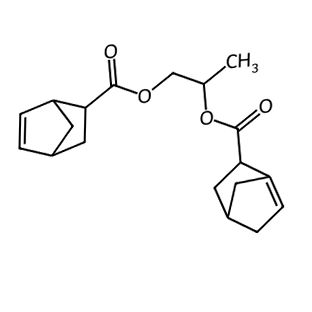 CC(COC(=O)C1CC2C=CC1C2)OC(=O)C1CC2CC=C1C2